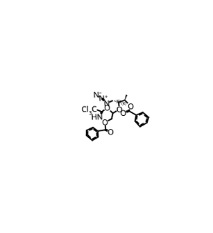 C[C@@H](OC(=O)c1ccccc1)[C@@H](CN=[N+]=[N-])OC(COC(=O)c1ccccc1)OC(=N)C(Cl)(Cl)Cl